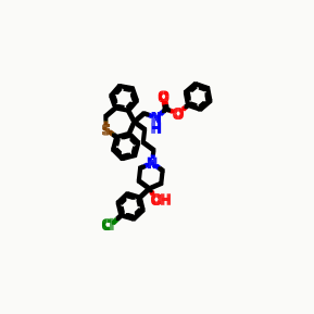 O=C(NCC1(CCCN2CCC(O)(c3ccc(Cl)cc3)CC2)c2ccccc2CSc2ccccc21)Oc1ccccc1